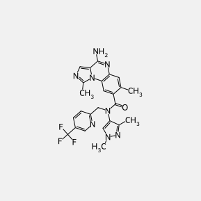 Cc1cc2nc(N)c3cnc(C)n3c2cc1C(=O)N(Cc1ccc(C(F)(F)F)cn1)c1cn(C)nc1C